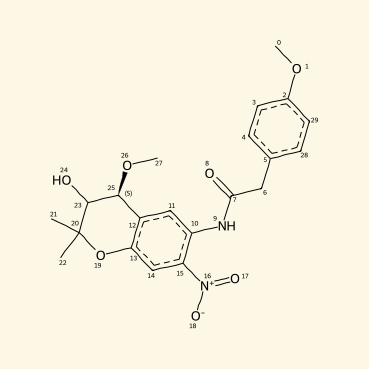 COc1ccc(CC(=O)Nc2cc3c(cc2[N+](=O)[O-])OC(C)(C)C(O)[C@H]3OC)cc1